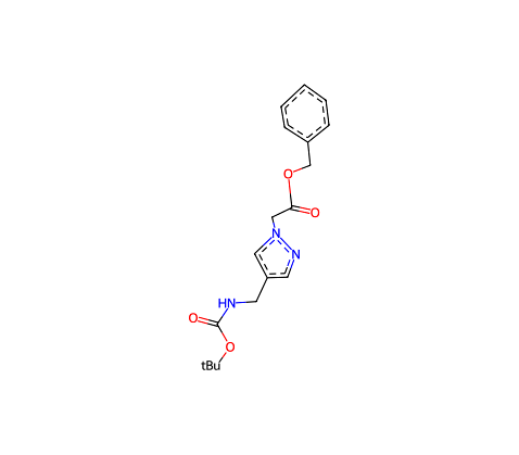 CC(C)(C)OC(=O)NCc1cnn(CC(=O)OCc2ccccc2)c1